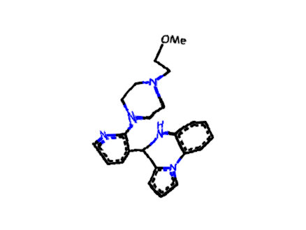 COCCN1CCN(c2ncccc2C2Nc3ccccc3-n3cccc32)CC1